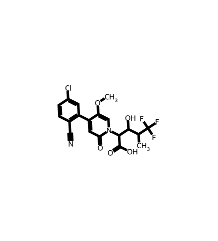 COc1cn(C(C(=O)O)C(O)C(C)C(F)(F)F)c(=O)cc1-c1cc(Cl)ccc1C#N